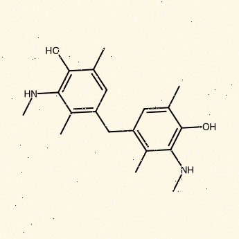 CNc1c(C)c(Cc2cc(C)c(O)c(NC)c2C)cc(C)c1O